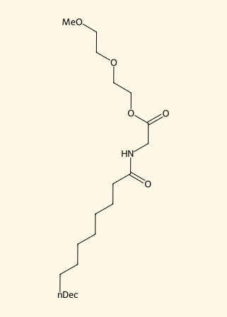 CCCCCCCCCCCCCCCCCC(=O)NCC(=O)OCCOCCOC